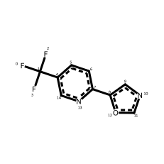 FC(F)(F)c1ccc(-c2cnco2)nc1